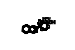 CC1(C2CC3CC2C2CCCCC32)OCOC(O)(C(F)(F)F)C1(F)F